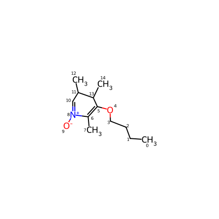 CCCCOC1=C(C)[N+]([O-])=CC(C)C1C